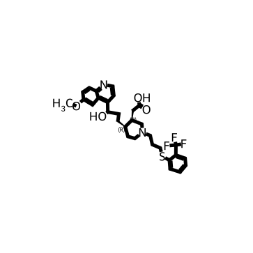 COc1ccc2nccc(C(O)CC[C@@H]3CCN(CCCSc4ccccc4C(F)(F)F)C[C@@H]3CC(=O)O)c2c1